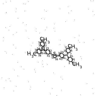 Cc1ccc(C(c2ccc(C)cc2)c2ccc(-c3ccc(-c4ccc(N(c5ccc(C)cc5)c5ccc(C)cc5)cc4)s3)cc2)cc1